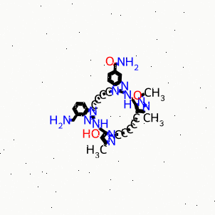 CCn1nc(C)c2c1C(=O)Nc1nc3cc(C(N)=O)ccc3n1CCCCn1c(nc3c(CN)cccc31)NC(O)c1cc(C)nn1CCCCC2